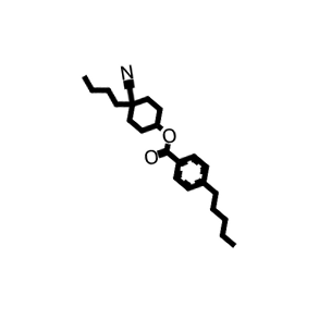 CCCCCc1ccc(C(=O)OC2CCC(C#N)(CCCC)CC2)cc1